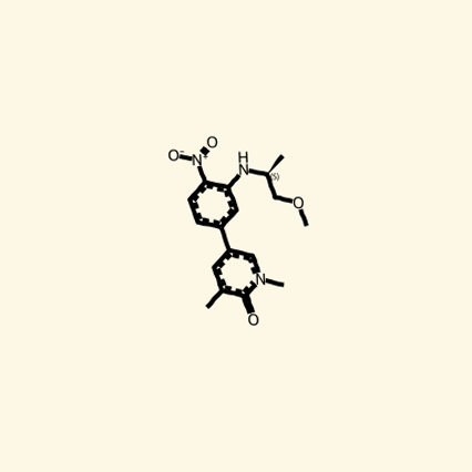 COC[C@H](C)Nc1cc(-c2cc(C)c(=O)n(C)c2)ccc1[N+](=O)[O-]